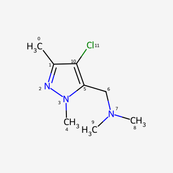 Cc1nn(C)c(CN(C)C)c1Cl